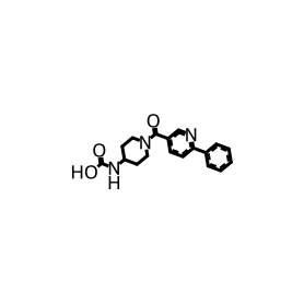 O=C(O)NC1CCN(C(=O)c2ccc(-c3ccccc3)nc2)CC1